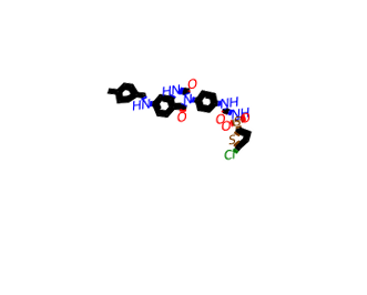 Cc1ccc(CNc2ccc3c(=O)n(-c4ccc(NC(=O)NS(=O)(=O)c5ccc(Cl)s5)cc4)c(=O)[nH]c3c2)cc1